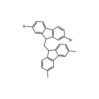 Cc1ccc2c(c1)-c1cc(C)ccc1C2CC1c2cc(Br)ccc2-c2ccc(Br)cc21